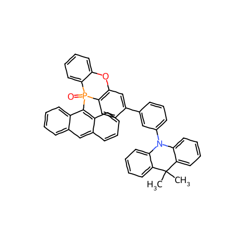 CC1(C)c2ccccc2N(c2cccc(-c3ccc4c(c3)Oc3ccccc3P4(=O)c3c4ccccc4cc4ccccc34)c2)c2ccccc21